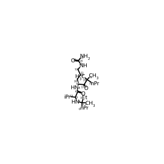 CCCC(C)(CC)NC(C(=O)N[C@@H](CCCNC(N)=O)C(=O)C(C)(C)CCC)C(C)C